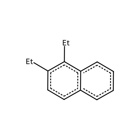 [CH2]Cc1ccc2ccccc2c1CC